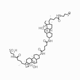 C[C@H](CCC(=O)NCC[S+]=O)[C@H]1CC[C@H]2[C@@H]3[C@@H](O)CC4C[C@H](NC(=O)CCCC(=O)N[C@@H]5CC[C@@]6(C)C(C5)C[C@H](O)[C@H]5[C@@H]7CC[C@H]([C@H](C)CCC(=O)NCCS(=O)(=O)O)[C@@]7(C)CC[C@@H]56)CC[C@]4(C)[C@H]3CC[C@]12C